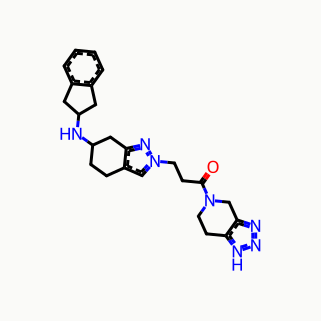 O=C(CCn1cc2c(n1)CC(NC1Cc3ccccc3C1)CC2)N1CCc2[nH]nnc2C1